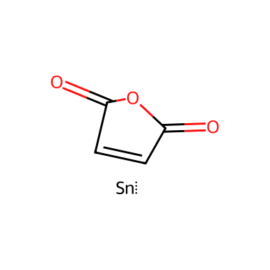 O=C1C=CC(=O)O1.[Sn]